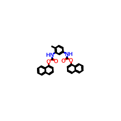 Cc1ccc(NC(=O)Oc2cccc3ccccc23)cc1NC(=O)Oc1cccc2ccccc12